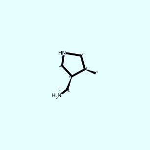 C[C@@H]1CNC[C@@H]1CN